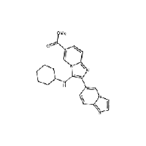 COC(=O)c1ccc2nc(-c3ccc4nccn4c3)c(NC3CCCCC3)n2c1